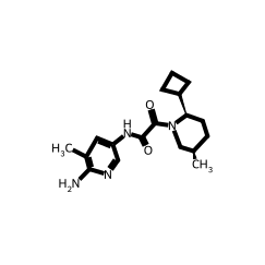 Cc1cc(NC(=O)C(=O)N2C[C@H](C)CC[C@@H]2C2CCC2)cnc1N